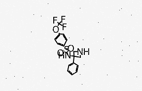 O=S(=O)(NC1(c2ccccc2)CNC1)c1ccc(OC(F)(F)F)cc1